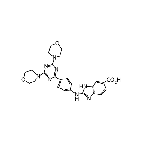 O=C(O)c1ccc2nc(Nc3ccc(-c4nc(N5CCOCC5)nc(N5CCOCC5)n4)cc3)[nH]c2c1